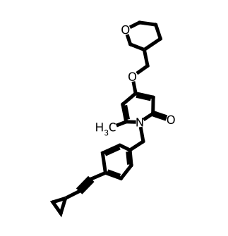 Cc1cc(OCC2CCCOC2)cc(=O)n1Cc1ccc(C#CC2CC2)cc1